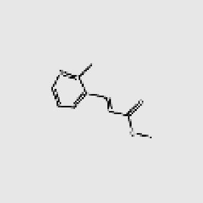 COC(=O)C=Cc1cccnc1C